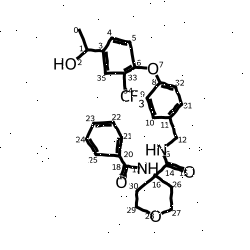 CC(O)c1ccc(Oc2ccc(CNC(=O)C3(NC(=O)c4ccccc4)CCOCC3)cc2)c(C(F)(F)F)c1